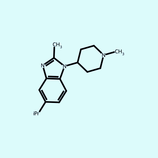 Cc1nc2cc(C(C)C)ccc2n1C1CCN(C)CC1